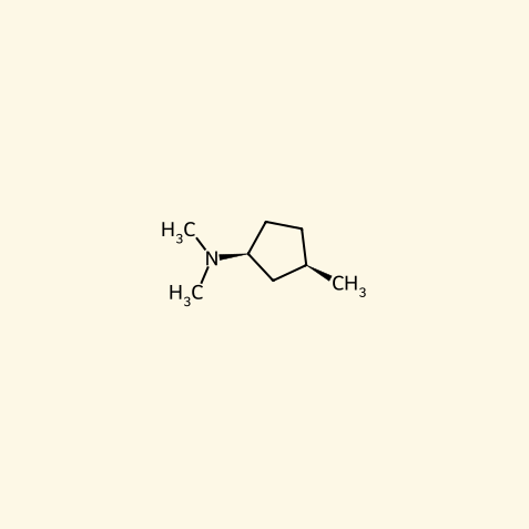 C[C@@H]1CC[C@H](N(C)C)C1